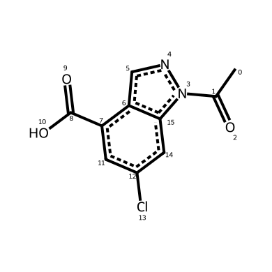 CC(=O)n1ncc2c(C(=O)O)cc(Cl)cc21